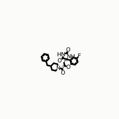 O=C1NC(=O)[C@@]2(C[C@@H](C(=O)N3CCC(Cc4ccccc4)CC3)Oc3ccc(F)cc32)N1